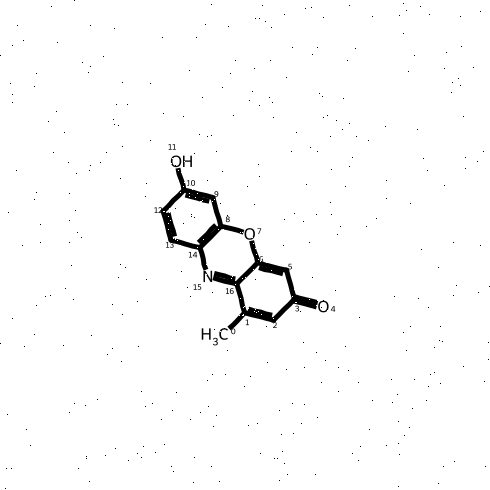 Cc1cc(=O)cc2oc3cc(O)ccc3nc1-2